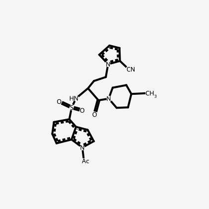 CC(=O)n1ccc2c(S(=O)(=O)NC(CCn3cccc3C#N)C(=O)N3CCC(C)CC3)cccc21